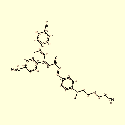 C=C(/C=C/c1ccc(N(C)CCCCCC#N)cc1)/C=C(\C=C(/C)c1ccc(Br)cc1)c1ccc(OC)cc1